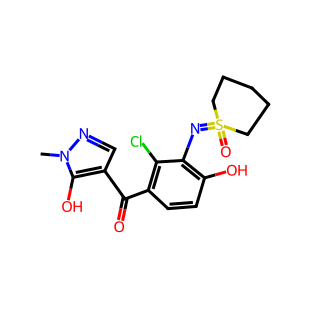 Cn1ncc(C(=O)c2ccc(O)c(N=S3(=O)CCCCC3)c2Cl)c1O